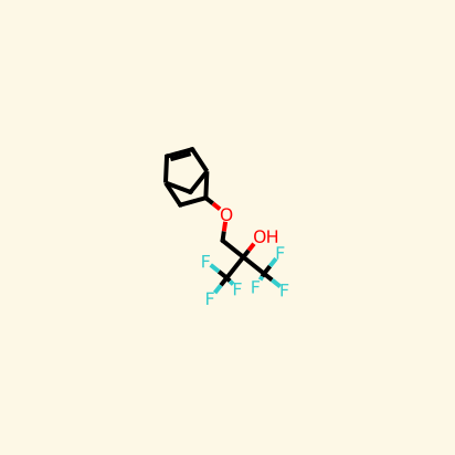 OC(COC1CC2C=CC1C2)(C(F)(F)F)C(F)(F)F